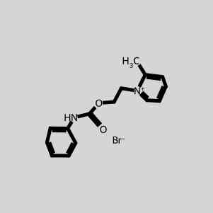 Cc1cccc[n+]1CCOC(=O)Nc1ccccc1.[Br-]